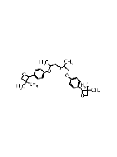 CC(COc1ccc(C2OCC2(C)C)cc1)OCC(C)Oc1ccc(C2OCC2(C)C)cc1